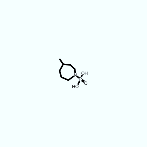 CC1CCCN(P(=O)(O)O)CC1